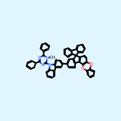 CN1C(n2c3ccccc3c3cc(-c4ccc5c(c4)C4(c6ccccc6-c6ccccc64)c4ccc6c(c4-5)Oc4ccccc4O6)ccc32)=NC(C2C=CC=CC2)=NC1c1ccccc1